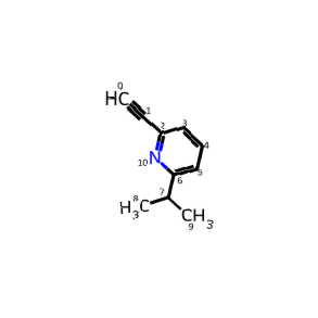 C#Cc1cccc(C(C)C)n1